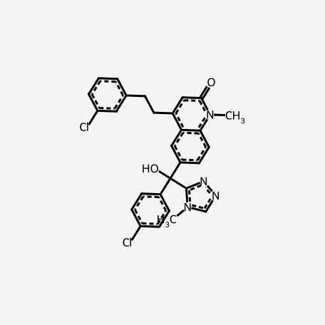 Cn1cnnc1C(O)(c1ccc(Cl)cc1)c1ccc2c(c1)c(CCc1cccc(Cl)c1)cc(=O)n2C